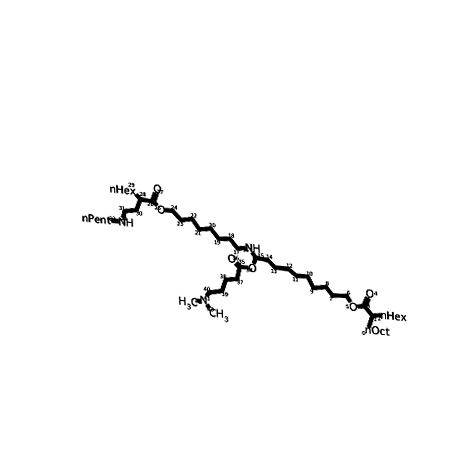 CCCCCCCCC(CCCCCC)C(=O)OCCCCCCCCCC(NCCCCCCCCOC(=O)C(CCCCCC)CCNCCCCC)OC(=O)CCCCN(C)C